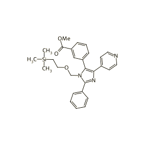 COC(=O)c1cccc(-c2c(-c3ccncc3)nc(-c3ccccc3)n2COCC[Si](C)(C)C)c1